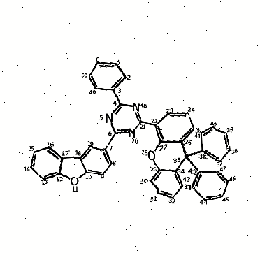 c1ccc(-c2nc(-c3ccc4oc5ccccc5c4c3)nc(-c3cccc4c3Oc3ccccc3C4(c3ccccc3)c3ccccc3)n2)cc1